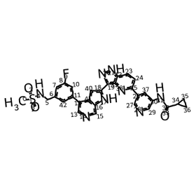 CS(=O)(=O)NCc1cc(F)cc(-c2cncc3[nH]c(-c4n[nH]c5ccc(-c6cncc(NC(=O)C7CC7)c6)nc45)cc23)c1